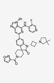 CC(C)n1cnc2cc(-c3ccc4c(c3)N([C@H]3C[C@@H](N5CCC(C)(C)C5)C3)C(=O)C43CCN(C(=O)c4ccon4)CC3)nc(Nc3ccncc3F)c21